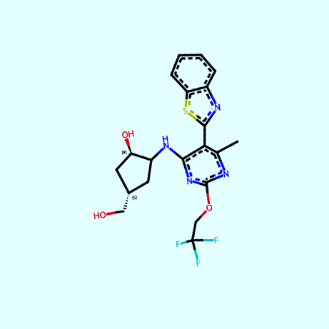 Cc1nc(OCC(F)(F)F)nc(NC2C[C@H](CO)C[C@H]2O)c1-c1nc2ccccc2s1